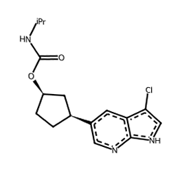 CC(C)NC(=O)O[C@@H]1CC[C@H](c2cnc3[nH]cc(Cl)c3c2)C1